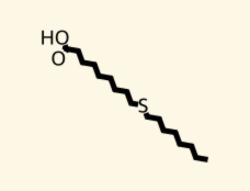 CCCCCCCCSCCCCCCCCC(=O)O